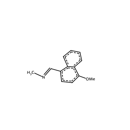 CN=Cc1ccc(OC)c2ccccc12